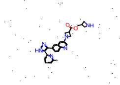 Cc1cccc(-c2[nH]cnc2-c2ccc3ncc(N4CC(C(=O)OCC5CNC5)C4)cc3c2)n1